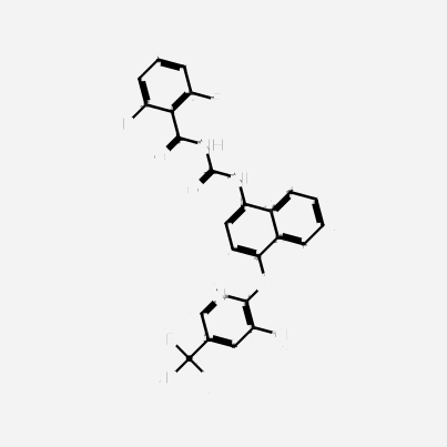 O=C(NC(=O)c1c(F)cccc1F)Nc1ccc(Oc2ncc(C(F)(F)F)cc2Cl)c2ccccc12